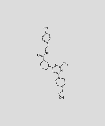 N#Cc1ccc(CCNC(=O)C2CCCN(c3cc(N4CCN(CCO)CC4)nc(C(F)(F)F)n3)C2)cc1